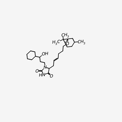 CC1CCC2C(C)(C)C2(OCCCC=CCC2C(=O)NC(=O)N2CCC(O)C2CCCCC2)C1